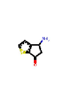 NC1CC(=O)c2sccc21